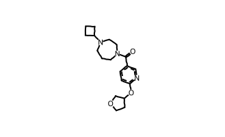 O=C(c1ccc(OC2CCOC2)nc1)N1CCCN(C2CCC2)CC1